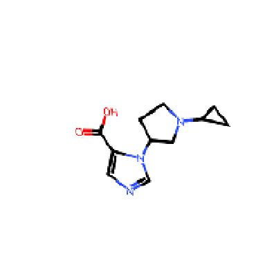 O=C(O)c1cncn1C1CCN(C2CC2)C1